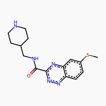 CSc1ccc2nnc(C(=O)NCC3CCNCC3)nc2c1